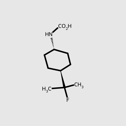 CC(C)(F)[C@H]1CC[C@H](NC(=O)O)CC1